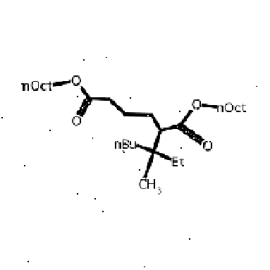 CCCCCCCCOC(=O)CCCC(C(=O)OCCCCCCCC)C(C)(CC)CCCC